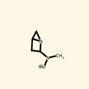 CN(C1CC2CN21)C(C)(C)C